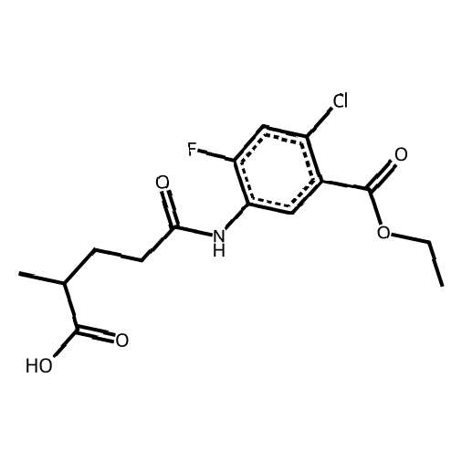 CCOC(=O)c1cc(NC(=O)CCC(C)C(=O)O)c(F)cc1Cl